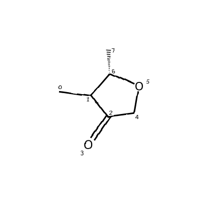 CC1C(=O)CO[C@H]1C